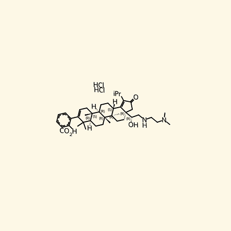 CC(C)C1=C2[C@H]3CC[C@@H]4[C@@]5(C)CC=C(c6ccccc6C(=O)O)C(C)(C)[C@@H]5CC[C@@]4(C)[C@]3(C)CC[C@@]2([C@@H](O)CNCCN(C)C)CC1=O.Cl.Cl